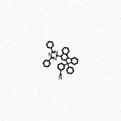 N#Cc1cccc(C2(c3ccccc3)c3ccccc3-c3c2cc(-c2nc(-c4ccccc4)nc(-c4ccccc4)n2)c2ccccc32)c1